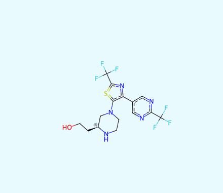 OCC[C@H]1CN(c2sc(C(F)(F)F)nc2-c2cnc(C(F)(F)F)nc2)CCN1